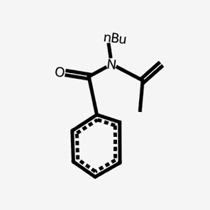 C=C(C)N(CCCC)C(=O)c1ccccc1